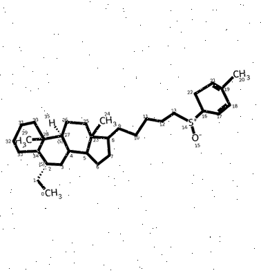 CC[C@H]1CC2C3CCC(CCCCC[S+]([O-])C4C=CC(C)=CC4)C3(C)CC[C@@H]2C2(C)CCCCC12